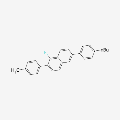 CCCCc1ccc(-c2ccc3c(F)c(-c4ccc(C)cc4)ccc3c2)cc1